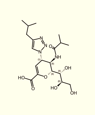 CC(C)Cc1cn([C@H]2C=C(C(=O)O)O[C@@H]([C@H](O)[C@H](O)CO)[C@@H]2NC(=O)C(C)C)nn1